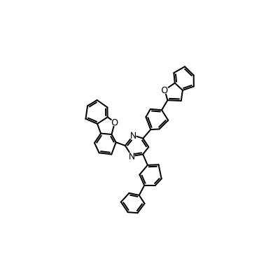 c1ccc(-c2cccc(-c3cc(-c4ccc(-c5cc6ccccc6o5)cc4)nc(-c4cccc5c4oc4ccccc45)n3)c2)cc1